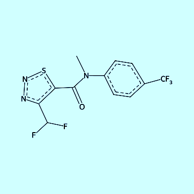 CN(C(=O)c1snnc1C(F)F)c1ccc(C(F)(F)F)cc1